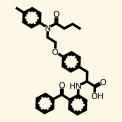 CCCC(=O)N(CCOc1ccc(CC(Nc2ccccc2C(=O)c2ccccc2)C(=O)O)cc1)c1ccc(C)cc1